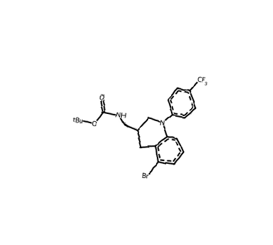 CC(C)(C)OC(=O)NCC1Cc2c(Br)cccc2N(c2ccc(C(F)(F)F)cc2)C1